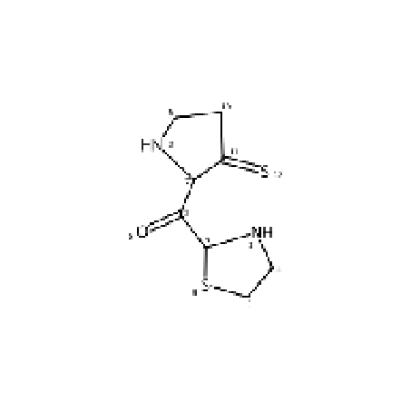 O=C(C1NCCS1)C1NCCC1=S